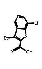 CCc1c(C(O)=S)sc2c(Cl)cccc12